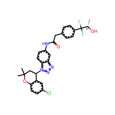 C[C@H](O)C(F)(F)c1ccc(CC(=O)Nc2ccc3c(c2)nnn3C2CC(C)(C)Oc3ccc(Cl)cc32)cc1